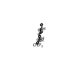 O=C(Nc1ccc(Oc2ccnc(C(=O)NCCc3ccccc3)c2)cc1)Nc1ccc(Cl)c(C(F)(F)F)c1